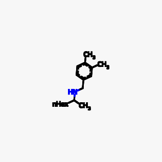 CCCCCCC(C)NCc1ccc(C)c(C)c1